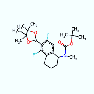 CN(C(=O)OC(C)(C)C)C1CCCc2c1cc(F)c(B1OC(C)(C)C(C)(C)O1)c2F